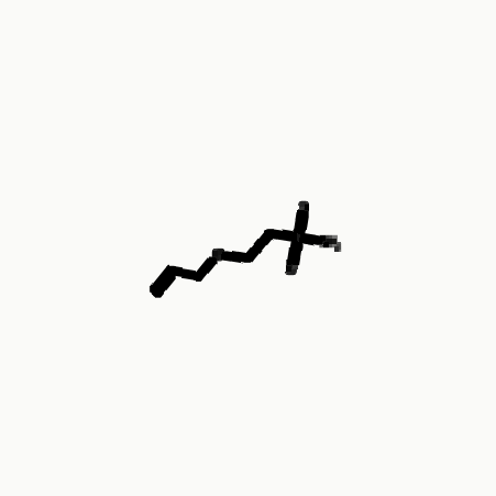 C=CCOCCS(N)(=O)=O